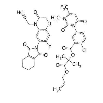 C#CCN1C(=O)COc2cc(F)c(N3C(=O)C4=C(CCCC4)C3=O)cc21.C=CCOC(=O)C(C)(C)OC(=O)c1cc(-n2c(=O)cc(C(F)(F)F)n(C)c2=O)ccc1Cl